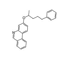 CC(CCCc1ccccc1)Oc1ccc2c(c1)ncc1ccccc12